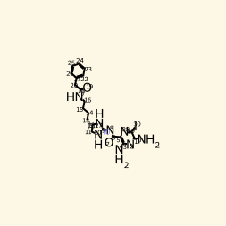 Nc1nc(N)c(C(=O)/N=C2\NC[C@H](CCCCNC(=O)Cc3ccccc3)N2)nc1I